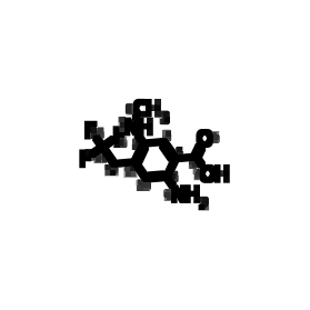 CNc1cc(C(=O)O)c(N)cc1CC(F)(F)F